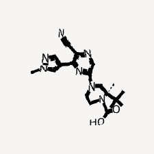 Cn1cc(-c2nc(N3CCN(C(=O)O)[C@](C)(C(C)(C)C)C3)cnc2C#N)cn1